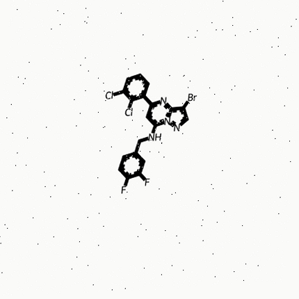 Fc1ccc(CNc2cc(-c3cccc(Cl)c3Cl)nc3c(Br)cnn23)cc1F